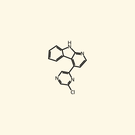 Clc1cncc(-c2ccnc3[nH]c4ccccc4c23)n1